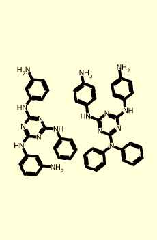 Nc1ccc(Nc2nc(Nc3ccc(N)cc3)nc(N(c3ccccc3)c3ccccc3)n2)cc1.Nc1cccc(Nc2nc(Nc3ccccc3)nc(Nc3cccc(N)c3)n2)c1